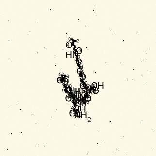 CC(C)C(=O)CCC(=O)NCCOCCOCCOCCOC(=O)N[C@@H](CCC(=O)O)C(=O)N[C@H](C(=O)N[C@@H](CCCNC(N)=O)C(=O)Nc1ccc(COC(=O)C(C)C)cc1)C(C)C